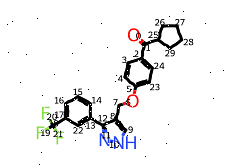 O=C(c1ccc(OCc2c[nH]nc2-c2cccc(C(F)(F)F)c2)cc1)C1CCCC1